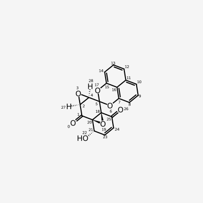 O=C1[C@H]2O[C@H]2C2(Oc3cccc4cccc(c34)O2)[C@@]23O[C@@]12[C@@H](O)C=CC3=O